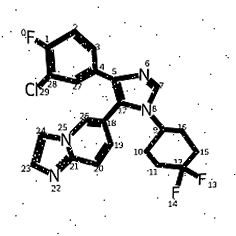 Fc1ccc(-c2ncn(C3CCC(F)(F)CC3)c2-c2ccc3nccn3c2)cc1Cl